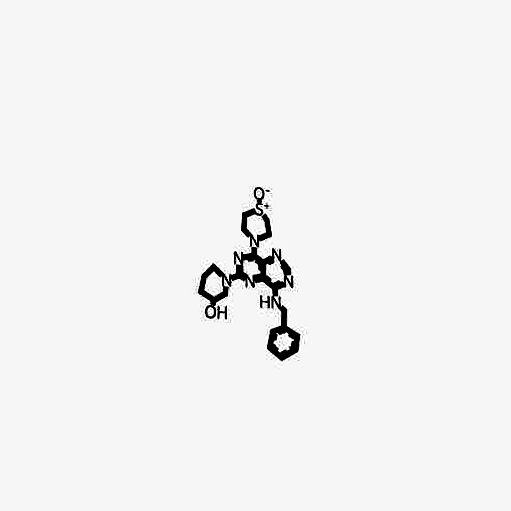 [O-][S+]1CCN(c2nc(N3CCCC(O)C3)nc3c(NCc4ccccc4)ncnc23)CC1